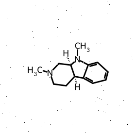 CN1CC[C@@H]2c3ccccc3N(C)[C@@H]2C1